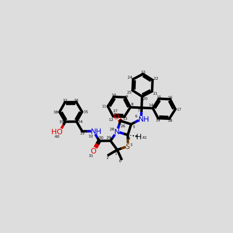 CC1(C)S[C@@H]2C(NC(c3ccccc3)(c3ccccc3)c3ccccc3)C(=O)N2C1C(=O)NCc1ccccc1O